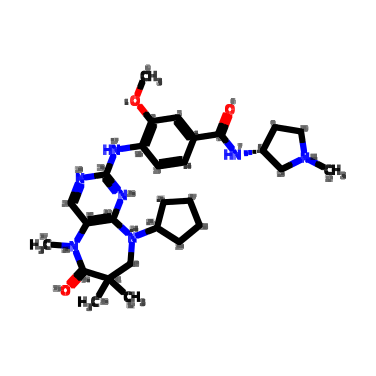 COc1cc(C(=O)N[C@@H]2CCN(C)C2)ccc1Nc1ncc2c(n1)N(C1CCCC1)CC(C)(C)C(=O)N2C